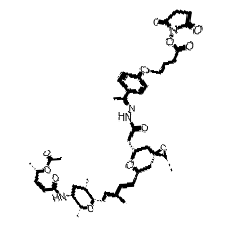 CC(=O)O[C@@H](C)/C=C\C(=O)N[C@@H]1C[C@H](C)[C@H](C/C=C(C)/C=C/[C@@H]2C[C@]3(C[C@@H](CC(=O)N/N=C(\C)c4ccc(OCCCC(=O)ON5C(=O)CCC5=O)cc4)O2)O[C@@H]3C)O[C@@H]1C